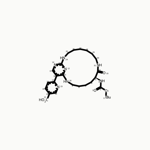 CC(C)(C)OC(=O)N[C@H]1CCCCNc2nc(ncc2-c2ccc(C(=O)O)cn2)NCCCCCCNC1=O